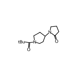 CC(C)(C)C(=O)N1CCC(N2CCCC2=O)CC1